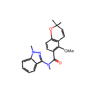 COc1c(C(=O)N(C)c2nn(C)c3ccccc23)ccc2c1C=CC(C)(C)O2